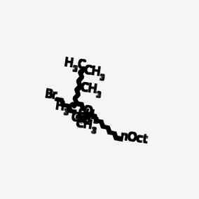 CCCCCCCC/C=C\CCCCCCCC(OC/C=C(\C)CC/C=C(\C)CCC=C(C)C)O[Si](C)(C)OCCCCCCBr